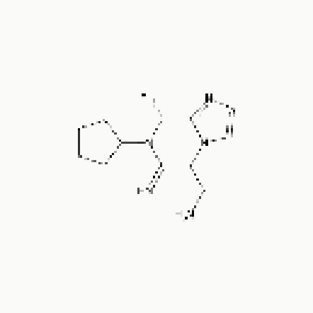 CC[C@@H]1c2nccn2C(CN)C(=N)N1C1CCCC1